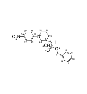 CC1(NC(=O)OCc2ccccc2)CCCN(c2ccc([N+](=O)[O-])cc2)C1